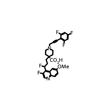 COc1ccc2ncc(F)c(C(F)CCC3(C(=O)O)CCN(CC#Cc4c(F)cc(F)cc4F)CC3)c2c1